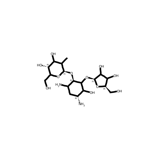 CC1C(O)[C@@H](O)C(CO)O[C@@H]1O[C@@H]1C(N)C[C@@H](N)C(O)C1O[C@@H]1O[C@H](CO)C(O)C1O